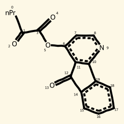 CCCC(=O)C(=O)Oc1ccnc2c1C(=O)c1ccccc1-2